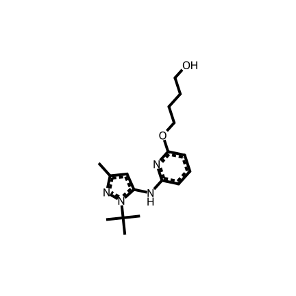 Cc1cc(Nc2cccc(OCCCCO)n2)n(C(C)(C)C)n1